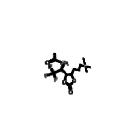 CC(=O)NC([C@@H]1OC(=O)OC1C[CH]C[Si](C)(C)C)C(F)(F)F